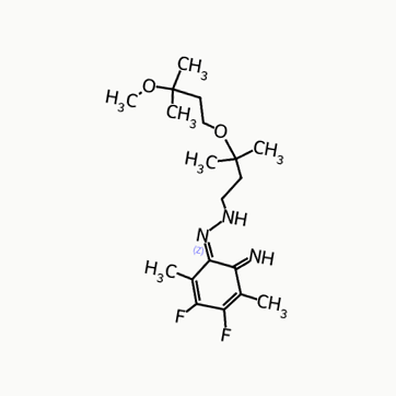 COC(C)(C)CCOC(C)(C)CCN/N=C1\C(=N)C(C)=C(F)C(F)=C1C